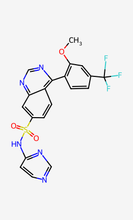 COc1cc(C(F)(F)F)ccc1-c1ncnc2cc(S(=O)(=O)Nc3ccncn3)ccc12